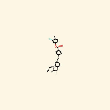 C=C/C=C\CC(C)[C@@H](C)Cc1ccc(CCc2ccc(C(O)Oc3ccc(C)c(F)c3)cc2)cc1